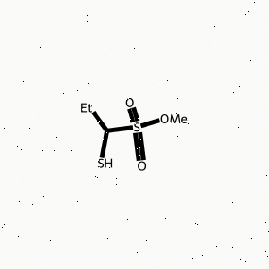 CCC(S)S(=O)(=O)OC